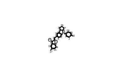 Cc1ccc(N2c3ccc(/C=C4\Oc5ccc(C)cc5C4=O)cc3C3CCCC32)cc1